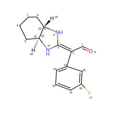 O=CC(=C1N[C@H]2CCCC[C@@H]2N1)c1cccc(F)c1